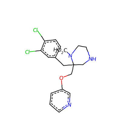 O=C(O)N1CCNCC1(COc1cccnc1)Cc1ccc(Cl)c(Cl)c1